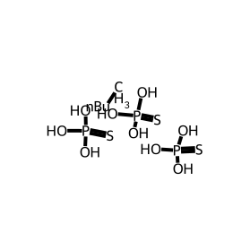 CCCCC.OP(O)(O)=S.OP(O)(O)=S.OP(O)(O)=S